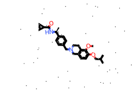 COc1c(OCC(C)C)ccc2c1CCN(Cc1ccc([C@H](C)NC(=O)C3CC3)cc1)C2